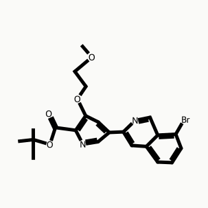 COCCOc1cc(-c2cc3cccc(Br)c3cn2)cnc1C(=O)OC(C)(C)C